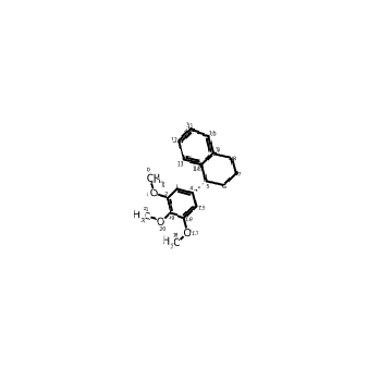 COc1cc([C@H]2CCCc3ccccc32)cc(OC)c1OC